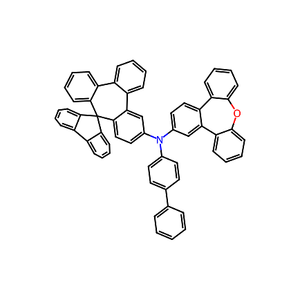 c1ccc(-c2ccc(N(c3ccc4c(c3)-c3ccccc3Oc3ccccc3-4)c3ccc4c(c3)-c3ccccc3-c3ccccc3C43c4ccccc4-c4ccccc43)cc2)cc1